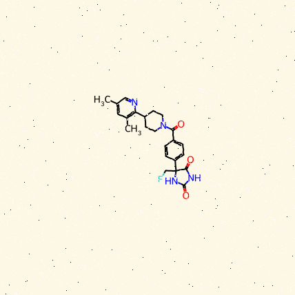 Cc1cnc(C2CCN(C(=O)c3ccc(C4(CF)NC(=O)NC4=O)cc3)CC2)c(C)c1